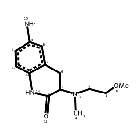 COCCN(C)C1Cc2cc([NH])ccc2NC1=O